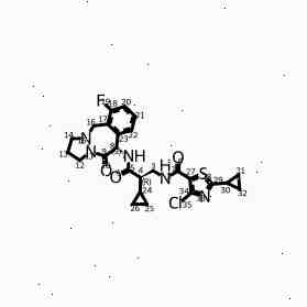 O=C(NC[C@H](C(=O)N[C@@H]1C(=O)N2CCCN2Cc2c(F)cccc21)C1CC1)c1sc(C2CC2)nc1Cl